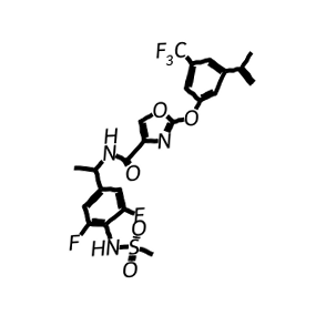 C=C(C)c1cc(Oc2nc(C(=O)NC(C)c3cc(F)c(NS(C)(=O)=O)c(F)c3)co2)cc(C(F)(F)F)c1